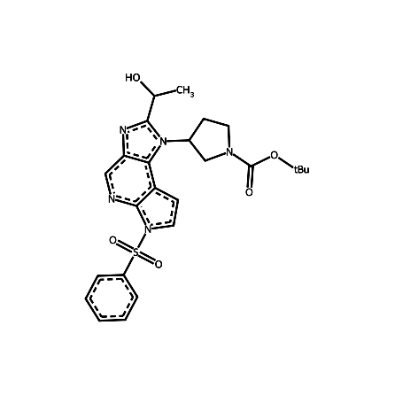 CC(O)c1nc2cnc3c(ccn3S(=O)(=O)c3ccccc3)c2n1C1CCN(C(=O)OC(C)(C)C)C1